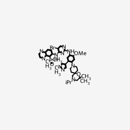 COc1cc(N2CCC3(CC2)CN(C(C)C)CC(C)(C)O3)c(-c2cnn(C)c2)cc1Nc1ncc(Br)c(Nc2ccc3nccnc3c2P(C)(C)=O)n1